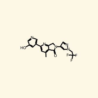 Cc1cc(-c2cncc(O)c2)nc2c1C(=O)N(c1cnn(CC(F)(F)F)c1)C2